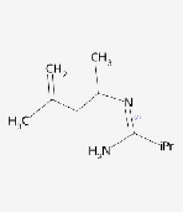 C=C(C)CC(C)/N=C(\N)C(C)C